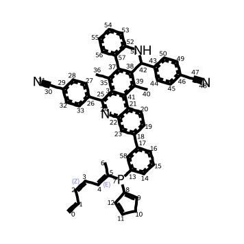 C=C/C=C\C=C(/C)P(C1=CCC=C1)c1cccc(-c2ccc3c(c2)nc(-c2ccc(C#N)cc2)c2c(C)c4c(c(C)c23)C(c2ccc(C#N)cc2)Nc2ccccc2-4)c1